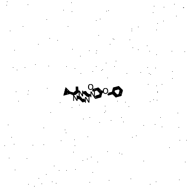 Cc1c(C2CC2)nc2cnc(-n3ccc(OCc4ccccc4)cc3=O)cn12